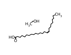 CCCCCCCC/C=C\CCCCCCCCCCCCCC(=O)O.CCO